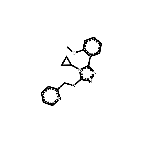 COc1ccccc1-c1nnc(SCc2ccccn2)n1C1CC1